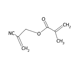 C=C(C#N)COC(=O)C(=C)C